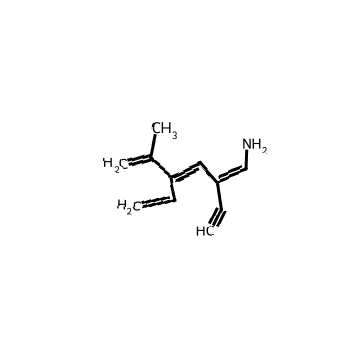 C#CC(=C/N)/C=C(\C=C)C(=C)C